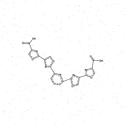 O=C(O)c1coc(-c2coc(-c3cccc(-c4nc(-c5nc(C(=O)O)co5)co4)n3)n2)n1